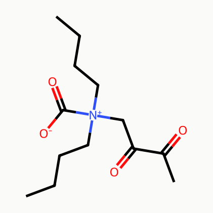 CCCC[N+](CCCC)(CC(=O)C(C)=O)C(=O)[O-]